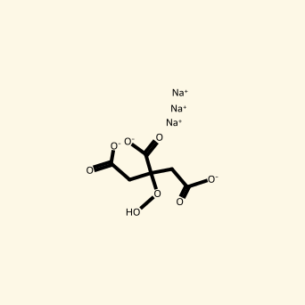 O=C([O-])CC(CC(=O)[O-])(OO)C(=O)[O-].[Na+].[Na+].[Na+]